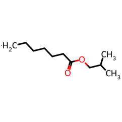 [CH2]CCCCCC(=O)OCC(C)C